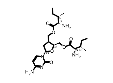 CC[C@H](C)[C@H](N)C(=O)OCC1C[C@H](n2ccc(N)nc2=O)O[C@@H]1COC(=O)[C@@H](N)[C@@H](C)CC